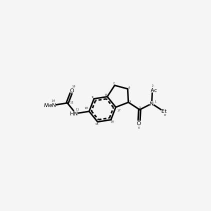 CCN(C(C)=O)C(=O)C1CCc2cc(NC(=O)NC)ccc21